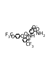 NC(=O)c1cc(NC(=O)c2c(Oc3ccc(OC(F)(F)F)cc3)ccc(C(F)(F)F)c2F)cc[n+]1[O-]